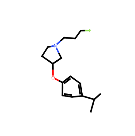 CC(C)c1ccc(OC2CCN(CCCF)C2)cc1